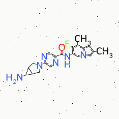 Cc1cc2c(C)c(F)c(NC(=O)c3cnc(N4CC5C(N)C5C4)cn3)cn2c1